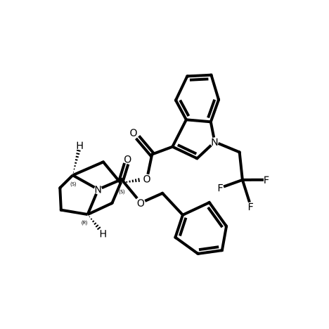 O=C(O[C@@H]1C[C@H]2CC[C@@H](C1)N2C(=O)OCc1ccccc1)c1cn(CC(F)(F)F)c2ccccc12